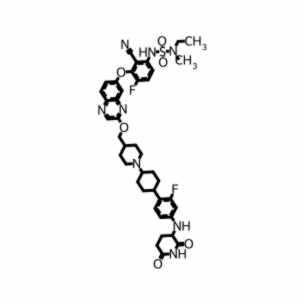 CCN(C)S(=O)(=O)Nc1ccc(F)c(Oc2ccc3ncc(OCC4CCN(C5CCC(c6ccc(NC7CCC(=O)NC7=O)cc6F)CC5)CC4)nc3c2)c1C#N